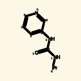 CC(C)NC(=O)Nc1cccnc1